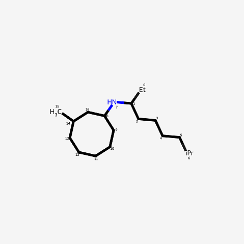 CCC(CCCCC(C)C)NC1CCCCCC(C)C1